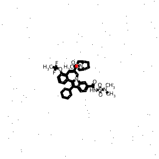 CN1CC2CCC(C1)N2C(=O)C1=Cc2c(OC(C)(F)F)cccc2-c2c(C3CCCCC3)c3ccc(C(=O)NS(=O)(=O)N(C)C)cc3n2C1